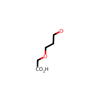 [O]CCCOCC(=O)O